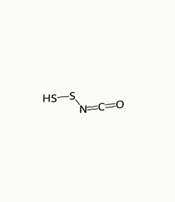 O=C=NSS